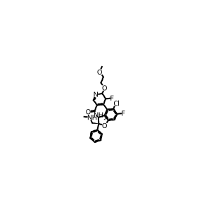 CNC[C@@]1(c2ccccc2)Cc2c(cc(F)c(Cl)c2C2=C(C(N)=O)C=NC(OCCOC)C2F)O1